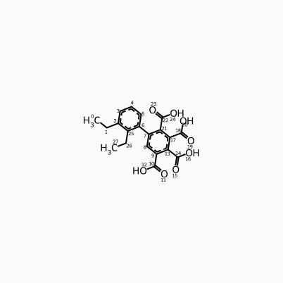 CCc1cccc(-c2cc(C(=O)O)c(C(=O)O)c(C(=O)O)c2C(=O)O)c1CC